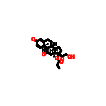 CCC(=O)O[C@]1(C(=O)CO)CC[C@H]2[C@@H]3CCC4=CC(=O)C=C[C@]4(C)[C@H]3C(=O)C[C@@]21C